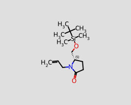 C=CCN1C(=O)CC[C@H]1CO[Si](C)(C)C(C)(C)C